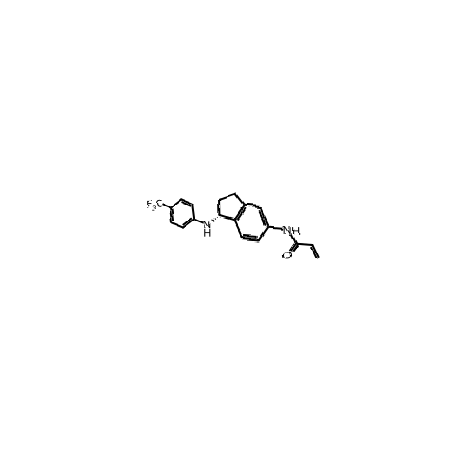 C=CC(=O)Nc1ccc2c(c1)CC[C@H]2Nc1ccc(C(F)(F)F)cc1